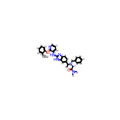 CC(c1ccc2nc(Nc3cccnc3Oc3ccccc3C(C)(C)C)[nH]c2c1)N(CC(=O)N(C)C)Cc1ccccc1